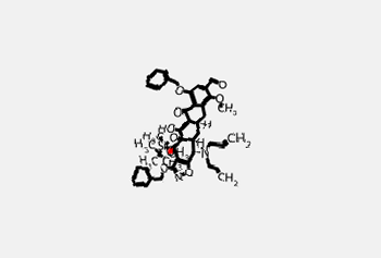 C=CCN(CC=C)[C@@H]1c2onc(OCc3ccccc3)c2C(=O)C2(O[Si](C)(C)C(C)(C)C)C(O)=C3C(=O)c4c(OCc5ccccc5)cc(C=O)c(OC)c4C[C@H]3C[C@@H]12